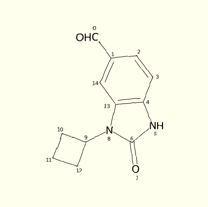 O=Cc1ccc2[nH]c(=O)n(C3CCC3)c2c1